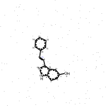 Oc1ccc2[nH]nc(/C=C/c3ccccc3)c2c1